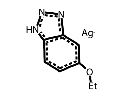 CCOc1ccc2[nH]nnc2c1.[Ag]